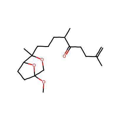 C=C(C)CCC(=O)C(C)CCCC1(C)OCC2(OC)CCC1O2